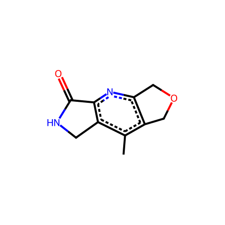 Cc1c2c(nc3c1CNC3=O)COC2